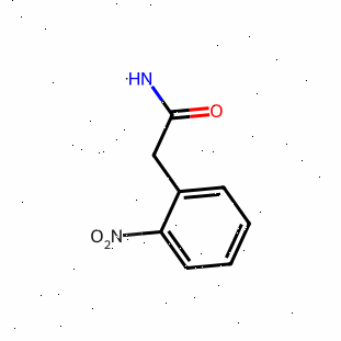 [NH]C(=O)Cc1ccccc1[N+](=O)[O-]